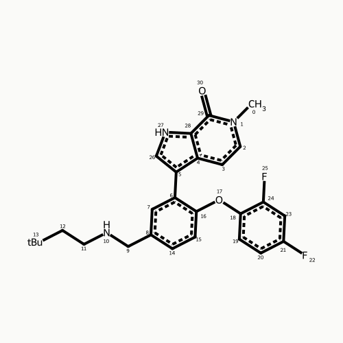 Cn1ccc2c(-c3cc(CNCCC(C)(C)C)ccc3Oc3ccc(F)cc3F)c[nH]c2c1=O